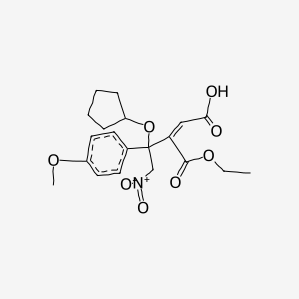 CCOC(=O)/C(=C\C(=O)O)C(C[N+](=O)[O-])(OC1CCCC1)c1ccc(OC)cc1